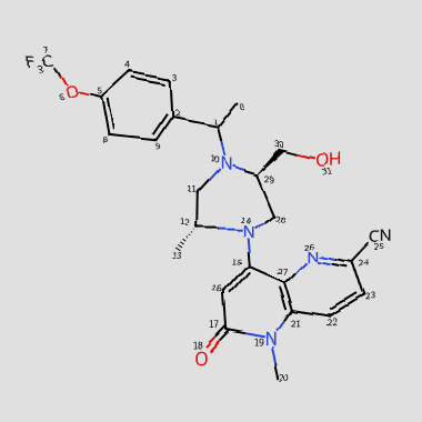 CC(c1ccc(OC(F)(F)F)cc1)N1C[C@@H](C)N(c2cc(=O)n(C)c3ccc(C#N)nc23)C[C@@H]1CO